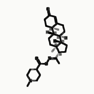 CC(=NOC(=O)C1CCN(C)CC1)[C@H]1CC[C@H]2[C@@H]3CCC4=CC(=O)CC[C@]4(C)[C@H]3CC[C@]12C